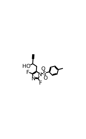 C#CC(O)Cc1c(F)nc(F)n1S(=O)(=O)c1ccc(C)cc1